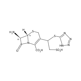 N[C@@H]1C(=O)N2C(C(=O)O)=C(C(CS(=O)(=O)O)Sc3nnn[nH]3)CS[C@@H]12